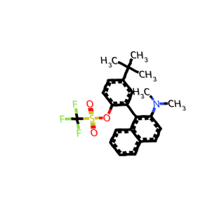 CN(C)c1ccc2ccccc2c1-c1cc(C(C)(C)C)ccc1OS(=O)(=O)C(F)(F)F